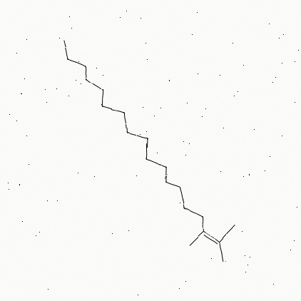 [CH2]/C(C)=C(\C)CCCCCCCCCCCCCCC